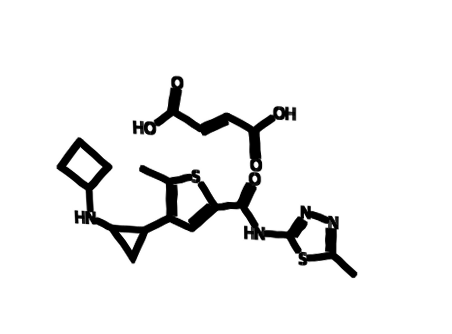 Cc1nnc(NC(=O)c2cc(C3CC3NC3CCC3)c(C)s2)s1.O=C(O)C=CC(=O)O